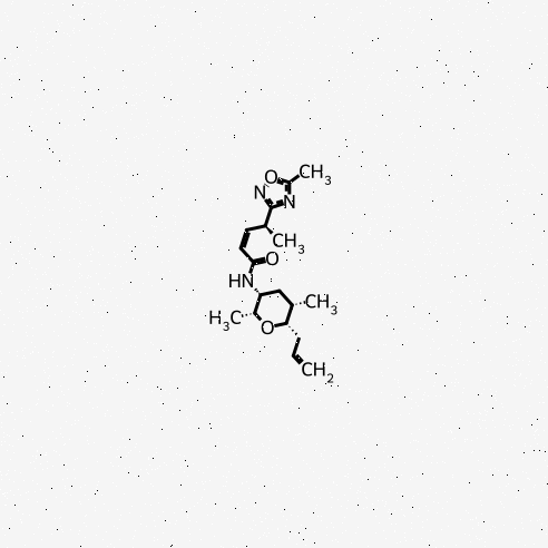 C=CC[C@@H]1O[C@H](C)[C@H](NC(=O)/C=C\[C@H](C)c2noc(C)n2)C[C@@H]1C